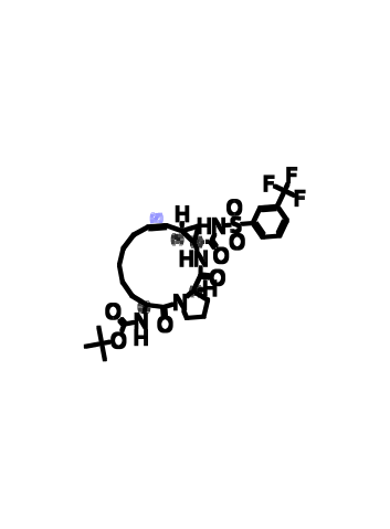 CC(C)(C)OC(=O)N[C@H]1CCCCC/C=C\[C@@H]2C[C@@]2(C(=O)NS(=O)(=O)c2cccc(C(F)(F)F)c2)NC(=O)[C@@H]2CCCN2C1=O